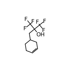 OC(CC1CC=CCC1)(C(F)(F)F)C(F)(F)F